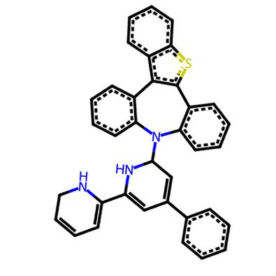 C1=CCNC(C2=CC(c3ccccc3)=CC(N3c4ccccc4-c4sc5ccccc5c4-c4ccccc43)N2)=C1